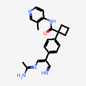 C/C(N)=N\C=C(/C=N)c1ccc(C2(C(=O)Nc3ccncc3C)CCC2)cc1